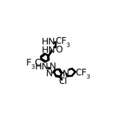 Cn1c(Nc2cc(CNC(=O)C(=N)C(F)(F)F)ccc2C(F)(F)F)nc2cc(Cl)c(N3CCC(C(F)(F)F)CC3)cc21